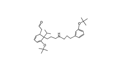 CC(C)C1(CCCNCCCc2cccc(OC(C)(C)C)c2)C(OC(C)(C)C)=CC=CC1CC=O